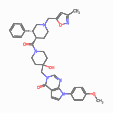 COc1ccc(-n2ccc3c(=O)n(CC4(O)CCN(C(=O)[C@@H]5CCN(Cc6cc(C)no6)C[C@H]5c5ccccc5)CC4)cnc32)cc1